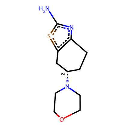 Nc1nc2c(s1)C[C@@H](N1CCOCC1)CC2